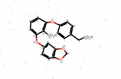 O=C(O)Cc1ccc(Oc2cccc(Oc3ccc4c(c3)OCO4)c2C(=O)O)cc1